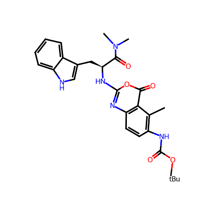 Cc1c(NC(=O)OC(C)(C)C)ccc2nc(N[C@@H](Cc3c[nH]c4ccccc34)C(=O)N(C)C)oc(=O)c12